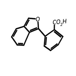 O=C(O)c1ccccc1-c1occ2ccccc12